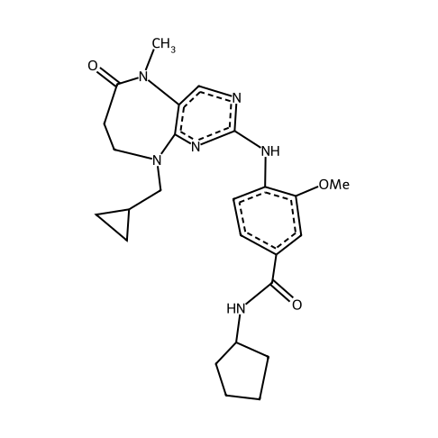 COc1cc(C(=O)NC2CCCC2)ccc1Nc1ncc2c(n1)N(CC1CC1)CCC(=O)N2C